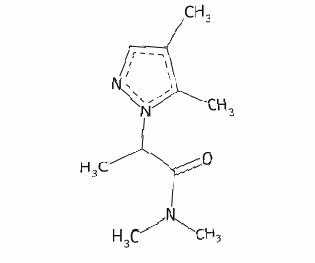 Cc1cnn(C(C)C(=O)N(C)C)c1C